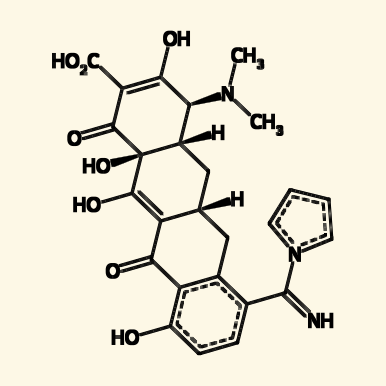 CN(C)[C@@H]1C(O)=C(C(=O)O)C(=O)[C@@]2(O)C(O)=C3C(=O)c4c(O)ccc(C(=N)n5cccc5)c4C[C@H]3C[C@@H]12